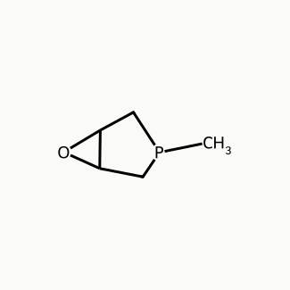 CP1CC2OC2C1